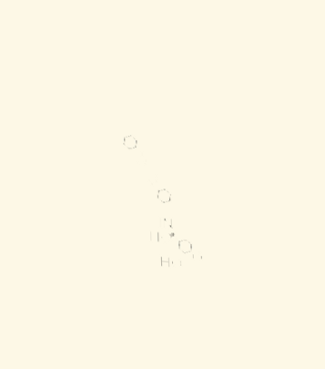 OCc1cc([C@@H](O)CNCCc2cccc(COCCOCc3ccccc3)c2)ccc1O